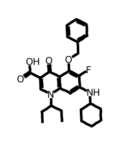 CCC(CC)n1cc(C(=O)O)c(=O)c2c(OCc3ccccc3)c(F)c(NC3CCCCC3)cc21